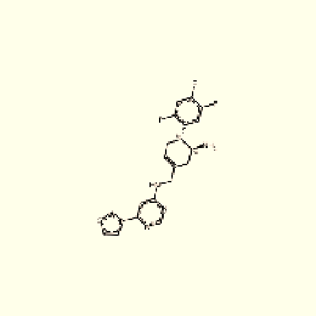 N[C@H]1CC(CNc2cc(-c3ccsc3)ncn2)=CC[C@@H]1c1cc(F)c(F)cc1F